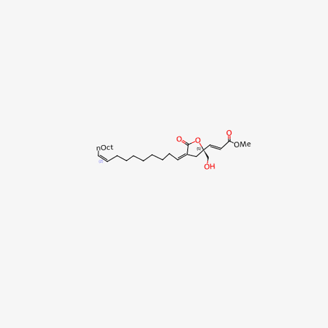 CCCCCCCC/C=C\CCCCCCCC=C1C[C@](C=CC(=O)OC)(CO)OC1=O